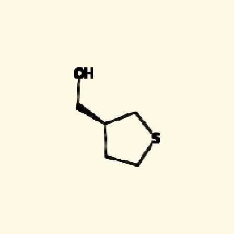 OC[C@@H]1CCSC1